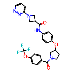 O=C(Nc1ccc(OC2CCN(C(=O)c3ccc(OC(F)(F)F)cc3)C2)cc1)C1CN(c2cccnn2)C1